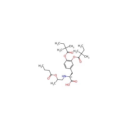 CCCC(=O)OC(C)CN[C@@H](Cc1ccc(OC(=O)C(C)(C)CC)c(OC(=O)C(C)(C)CC)c1)C(=O)O